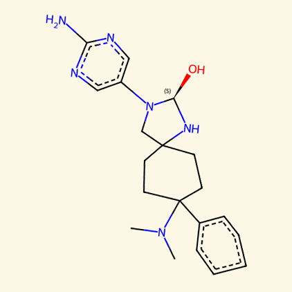 CN(C)C1(c2ccccc2)CCC2(CC1)CN(c1cnc(N)nc1)[C@@H](O)N2